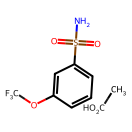 CC(=O)O.NS(=O)(=O)c1cccc(OC(F)(F)F)c1